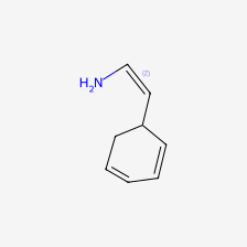 N/C=C\C1C=CC=CC1